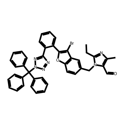 CCc1nc(C)c(C=O)n1Cc1ccc2oc(-c3ccccc3-c3nnn(C(c4ccccc4)(c4ccccc4)c4ccccc4)n3)c(Br)c2c1